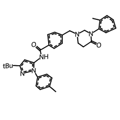 Cc1ccc(-n2nc(C(C)(C)C)cc2NC(=O)c2ccc(CN3CCC(=O)N(c4ccccc4C)C3)cc2)cc1